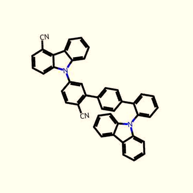 N#Cc1ccc(-n2c3ccccc3c3c(C#N)cccc32)cc1-c1ccc(-c2ccccc2-n2c3ccccc3c3ccccc32)cc1